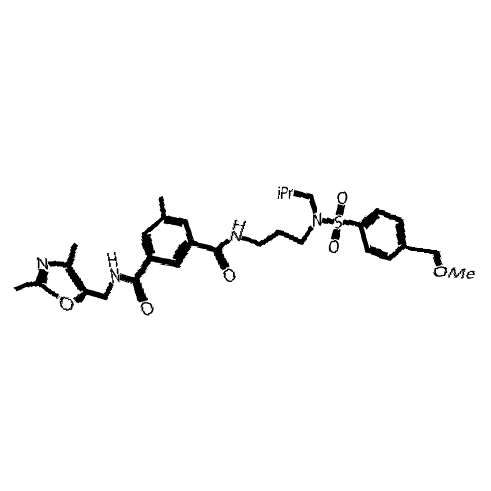 COCc1ccc(S(=O)(=O)N(CCCNC(=O)c2cc(C)cc(C(=O)NCc3oc(C)nc3C)c2)CC(C)C)cc1